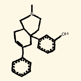 CN1CCC2(c3cccc(O)c3)CC(c3ccccc3)=CCC2C1